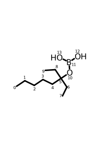 CCCCCC(CC)(CC)OB(O)O